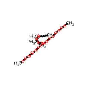 CCCCCCCCOC(C)COC(C)COC(C)CO.CCCOCCOCCOCCOCCOCCOCCOCCOCCOCCOCCOCCOCCOCCOCCOCCC